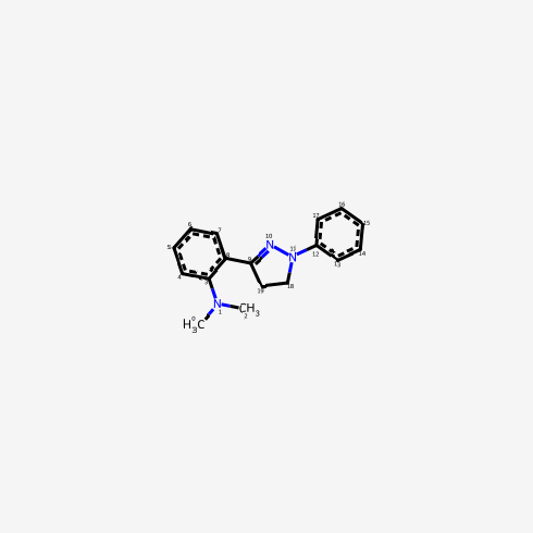 CN(C)c1ccccc1C1=NN(c2ccccc2)CC1